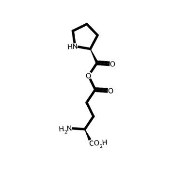 N[C@@H](CCC(=O)OC(=O)[C@@H]1CCCN1)C(=O)O